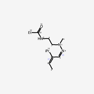 C/C=C(\C=N/N(C)CCNC(=O)CC)C(C)C